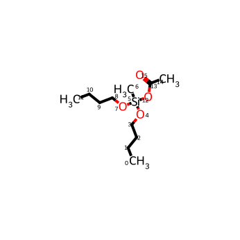 CCCCO[Si](C)(OCCCC)OC(C)=O